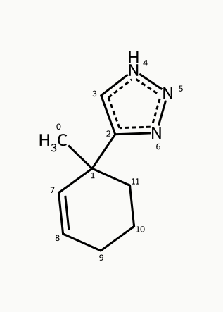 CC1(c2c[nH]nn2)C=CCCC1